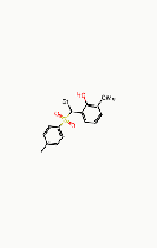 CCC(c1cccc(OC)c1O)S(=O)(=O)c1ccc(C)cc1